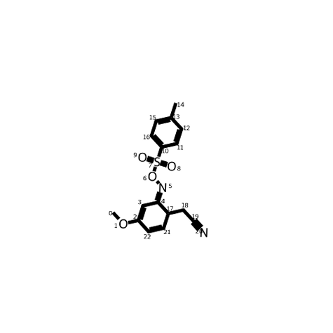 COC1=CC(=NOS(=O)(=O)c2ccc(C)cc2)C(CC#N)C=C1